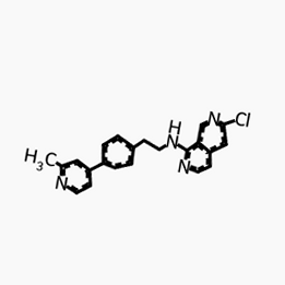 Cc1cc(-c2ccc(CCNc3nccc4cc(Cl)ncc34)cc2)ccn1